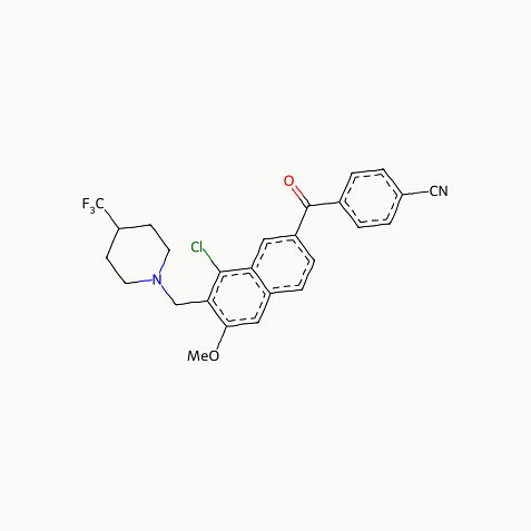 COc1cc2ccc(C(=O)c3ccc(C#N)cc3)cc2c(Cl)c1CN1CCC(C(F)(F)F)CC1